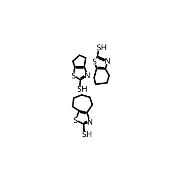 Sc1nc2c(s1)CCC2.Sc1nc2c(s1)CCCC2.Sc1nc2c(s1)CCCCC2